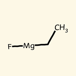 C[CH2][Mg][F]